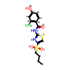 CCCCS(=O)(=O)c1csc(NC(=O)c2ccc(O)cc2Cl)n1